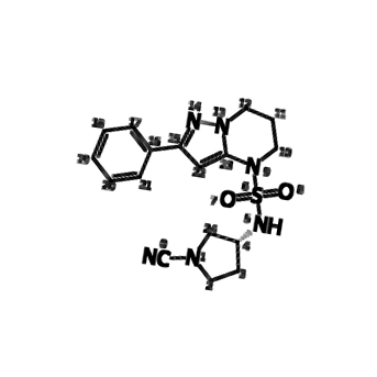 N#CN1CC[C@@H](NS(=O)(=O)N2CCCn3nc(-c4ccccc4)cc32)C1